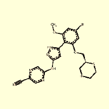 COc1cc(Br)cc(OC[C@@H]2CNCCS2)c1-c1cc(Nc2cnc(C#N)cn2)n[nH]1